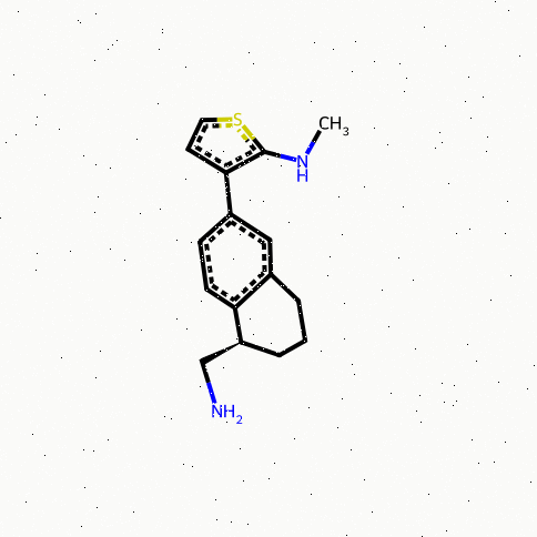 CNc1sccc1-c1ccc2c(c1)CCC[C@H]2CN